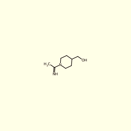 CC(=N)N1CCC(CO)CC1